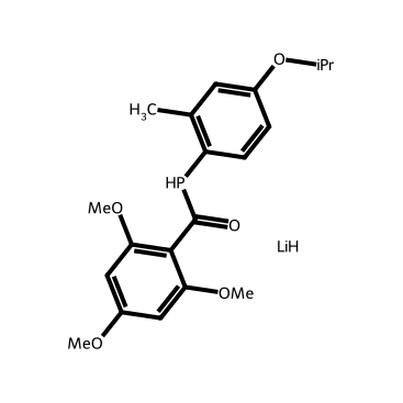 COc1cc(OC)c(C(=O)Pc2ccc(OC(C)C)cc2C)c(OC)c1.[LiH]